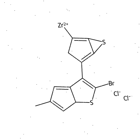 CC1=CC2SC(Br)=C(C3=C4SC4=[C]([Zr+2])C3)C2=C1.[Cl-].[Cl-]